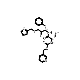 CC(C)C[C@H](NC(=O)OCc1cccnc1)C(=O)N[C@@H](Cc1ccccc1)C(=O)CSCc1ccco1